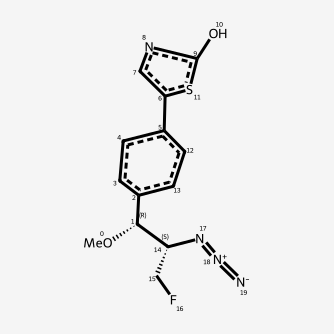 CO[C@H](c1ccc(-c2cnc(O)s2)cc1)[C@@H](CF)N=[N+]=[N-]